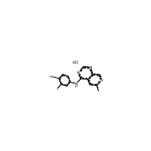 Cc1cc2c(Nc3ccc(O)c(I)c3)ncnc2cn1.Cl